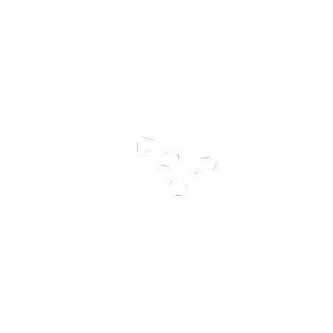 O=Cc1ccc(-c2ccc3c(c2)c2ccccc2n3-c2ccccc2)cc1